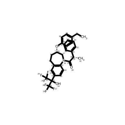 CCc1ccc(O[C@H]2CCc3cc(C(O)(C(F)(F)F)C(F)(F)F)ccc3N(C(=O)[C@@H](C)c3ccccc3)C2)cc1